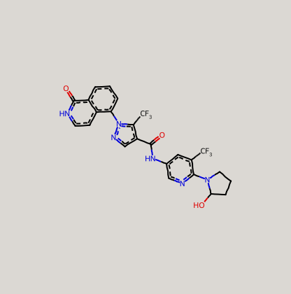 O=C(Nc1cnc(N2CCCC2O)c(C(F)(F)F)c1)c1cnn(-c2cccc3c(=O)[nH]ccc23)c1C(F)(F)F